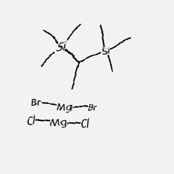 C[C]([Si](C)(C)C)[Si](C)(C)C.[Br][Mg][Br].[Cl][Mg][Cl]